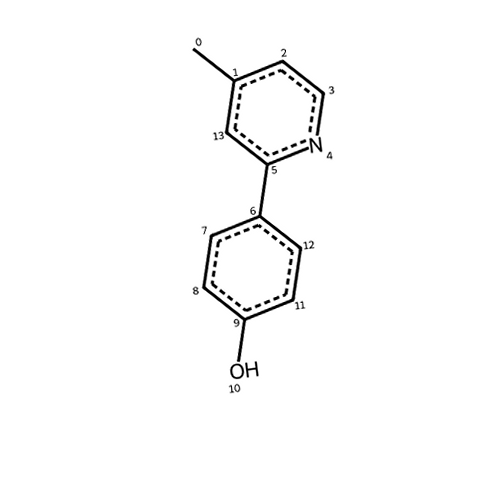 Cc1ccnc(-c2ccc(O)cc2)c1